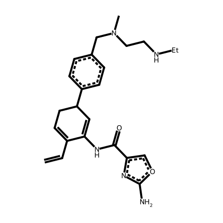 C=CC1=CCC(c2ccc(CN(C)CCNCC)cc2)C=C1NC(=O)c1coc(N)n1